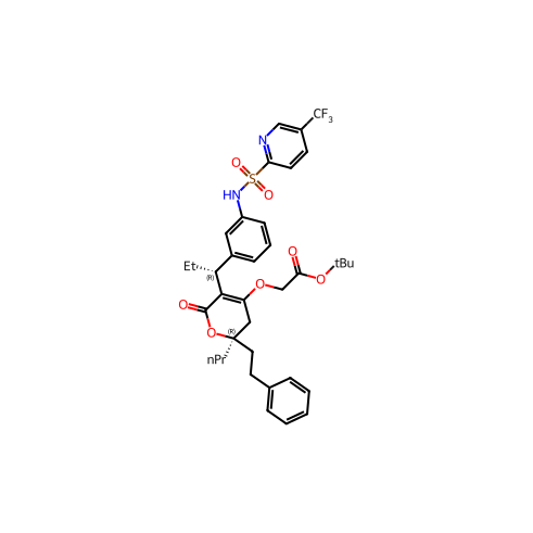 CCC[C@@]1(CCc2ccccc2)CC(OCC(=O)OC(C)(C)C)=C([C@H](CC)c2cccc(NS(=O)(=O)c3ccc(C(F)(F)F)cn3)c2)C(=O)O1